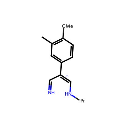 COc1ccc(/C(C=N)=C/NC(C)C)cc1C